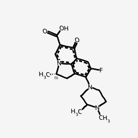 CC1CN(c2c(F)cc3c(=O)c(C(=O)O)cn4c3c2C[C@@H]4C)CCN1C